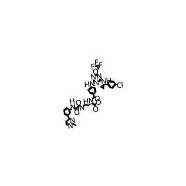 COC(=O)[C@@H](CCNC(=O)C(=O)Nc1cccc(-c2ccnc(C)n2)c1)NC(=O)c1ccc(Nc2nc(NC3(c4ccc(Cl)cc4)CC3)nc(OCC(F)(F)F)n2)cc1